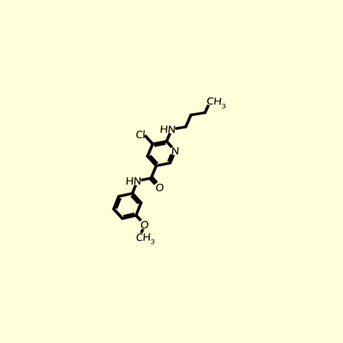 CCCCNc1ncc(C(=O)Nc2cccc(OC)c2)cc1Cl